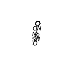 COc1nn2cc(-c3nc4ccccc4o3)nc2s1